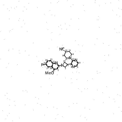 COc1cc(N2CC(c3nccnc3N3CCC(C#N)CC3)C2)nc2ccc(F)cc12